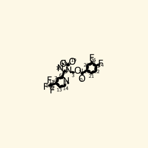 O=C(OCn1c(-c2cc(C(F)(F)F)ccn2)noc1=O)c1ccc(F)c(F)c1